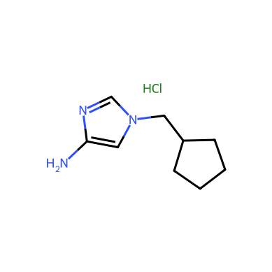 Cl.Nc1cn(CC2CCCC2)cn1